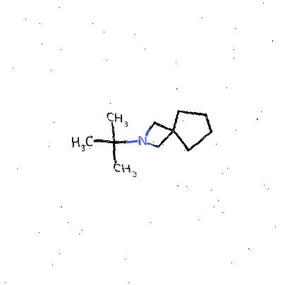 CC(C)(C)N1CC2(CCCC2)C1